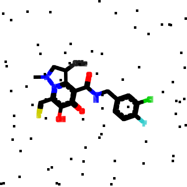 COC1CN(C)n2c(C=S)c(O)c(=O)c(C(=O)NCc3ccc(F)c(Cl)c3)c21